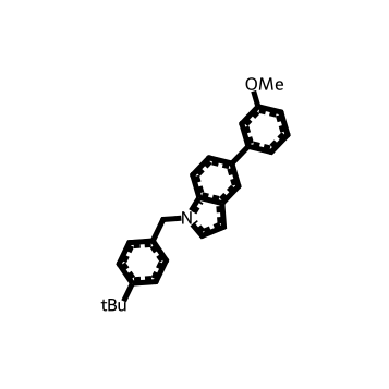 COc1cccc(-c2ccc3c(ccn3Cc3ccc(C(C)(C)C)cc3)c2)c1